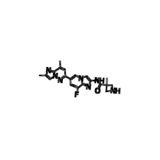 Cc1cn2nc(-c3cc(F)c4nc(NC(=O)C5(C)CNC5)cn4c3)cc(C)c2n1